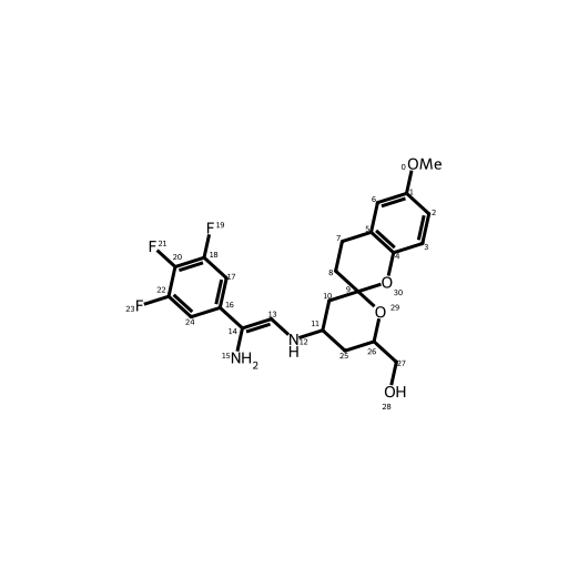 COc1ccc2c(c1)CCC1(CC(N/C=C(\N)c3cc(F)c(F)c(F)c3)CC(CO)O1)O2